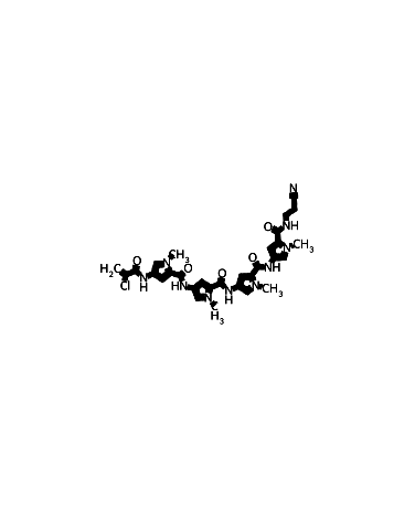 C=C(Cl)C(=O)Nc1cc(C(=O)Nc2cc(C(=O)Nc3cc(C(=O)Nc4cc(C(=O)NCCC#N)n(C)c4)n(C)c3)n(C)c2)n(C)c1